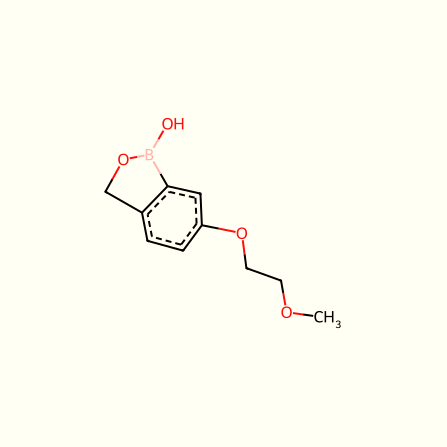 COCCOc1ccc2c(c1)B(O)OC2